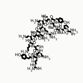 CC[C@H](C)[C@H](NC(=O)[C@@H](NC(=O)[C@@H]1CCCN1C(=O)[C@@H](N)C(C)C)[C@@H](C)CC)C(=O)N[C@@H](Cc1ccc(O)cc1)C(=O)N[C@@H](CS)C(=O)N[C@@H](CC(N)=O)C(=O)N[C@@H](CCCNC(=N)N)C(=O)N[C@@H](CCN)C(=O)N[C@H](C(=O)N[C@H](CCN)C(=O)N[C@@H](CCCCN)C(=O)N[C@@H](CS)C(=O)N[C@@H](CCN)C(=O)N[C@@H](CCCNC(=N)N)C(=O)N[C@@H](Cc1ccc(O)cc1)C(=O)O)[C@@H](C)O